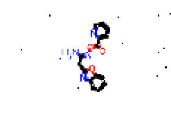 NC(Cc1nc2ccccc2o1)=NOC(=O)c1ccccn1